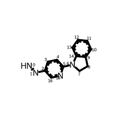 N=Nc1ccc(N2CCc3ccccc32)nc1